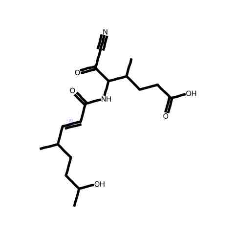 CC(O)CCC(C)/C=C/C(=O)NC(C(=O)C#N)C(C)CCC(=O)O